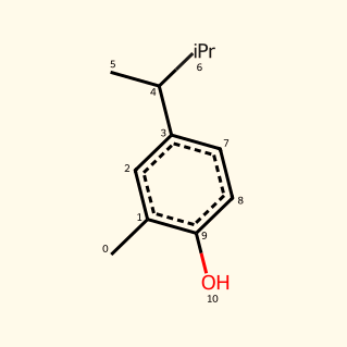 Cc1cc(C(C)C(C)C)ccc1O